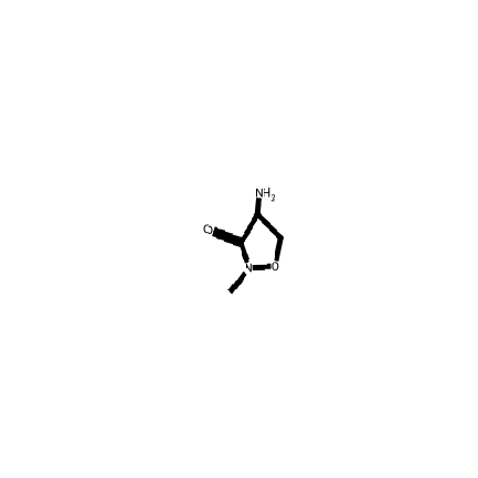 CN1OCC(N)C1=O